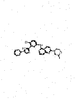 CC1CN(c2ccc3c(Nc4ccc(Cl)c(-c5ncc(-c6ccccc6)[nH]5)c4)cccc3n2)CCO1